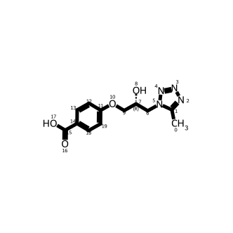 Cc1nnnn1C[C@@H](O)COc1ccc(C(=O)O)cc1